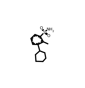 Cc1c(C2CCCCC2)cccc1S(N)(=O)=O